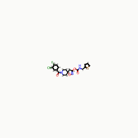 O=C(NCc1cccs1)OC1=NOC2(CCN(C(=O)c3ccc(F)c(Cl)c3)CC2)C1